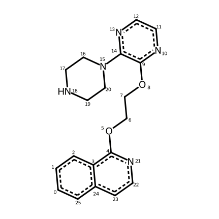 c1ccc2c(OCCOc3nccnc3N3CCNCC3)nccc2c1